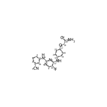 N#Cc1cccc(Nc2ncc(F)c(Nc3ccc(OCC(N)=O)cc3)n2)c1